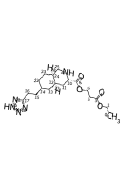 CCOC(=O)CCOC(=O)[C@@H]1C[C@H]2C[C@@H](CCc3nn[nH]n3)CC[C@H]2CN1